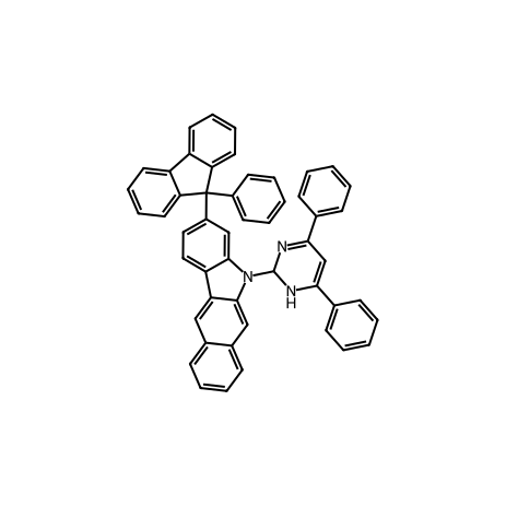 C1=C(c2ccccc2)NC(n2c3cc(C4(c5ccccc5)c5ccccc5-c5ccccc54)ccc3c3cc4ccccc4cc32)N=C1c1ccccc1